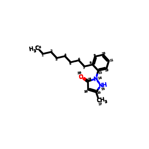 CCCCCCCCc1ccccc1-n1[nH]c(C)cc1=O